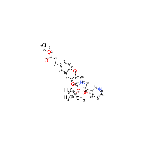 CCOC(=O)CCc1ccc2c(c1)CC[C@H](CN(CC(O)c1cccnc1)C(=O)OC(C)(C)C)O2